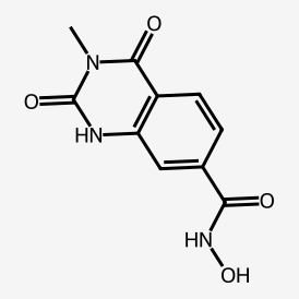 Cn1c(=O)[nH]c2cc(C(=O)NO)ccc2c1=O